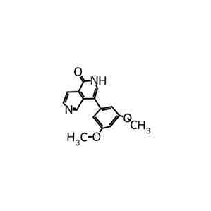 COc1cc(OC)cc(-c2c[nH]c(=O)c3ccncc23)c1